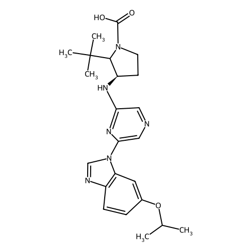 CC(C)Oc1ccc2ncn(-c3cncc(N[C@@H]4CCN(C(=O)O)C4C(C)(C)C)n3)c2c1